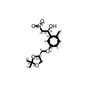 Cc1ccc(OC[C@H]2COC(C)(C)O2)cc1[C@H](O)C[N+](=O)[O-]